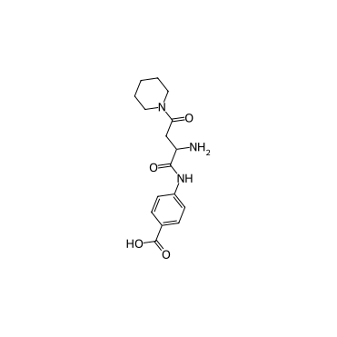 NC(CC(=O)N1CCCCC1)C(=O)Nc1ccc(C(=O)O)cc1